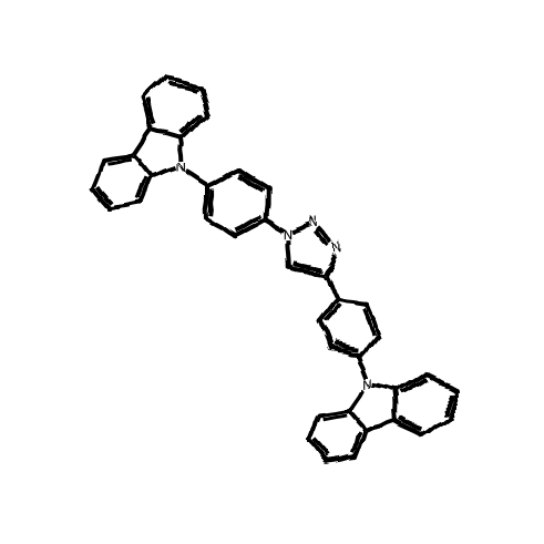 c1ccc2c(c1)c1ccccc1n2-c1ccc(-c2cn(-c3ccc(-n4c5ccccc5c5ccccc54)cc3)nn2)cc1